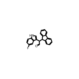 O=CC(c1c[nH]c2ccc(F)cc12)C1c2ccccc2-c2ccccc21